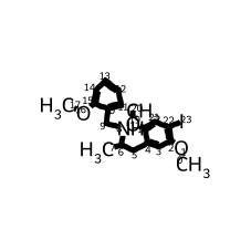 COc1cc(CC(C)NCc2ccccc2OC)c(OC)cc1I